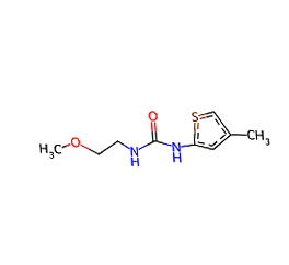 COCCNC(=O)Nc1cc(C)cs1